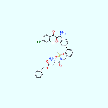 CS(=O)(=O)N(Cc1cccc(-c2ccc3c(N)c(C(=O)c4ccc(Cl)cc4Cl)oc3c2)c1)C(=O)[C@@H](N)CC(=O)OCc1ccccc1